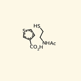 CC(=O)NCCS.O=C(O)c1ccsc1